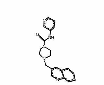 O=C(Nc1cccnc1)N1CCN(Cc2cnc3ccccc3c2)CC1